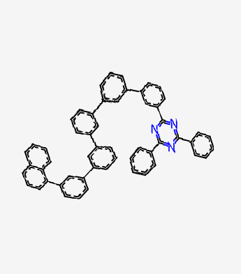 c1ccc(-c2nc(-c3ccccc3)nc(-c3cccc(-c4cccc(-c5cccc(-c6cccc(-c7cccc(-c8cccc9ccccc89)c7)c6)c5)c4)c3)n2)cc1